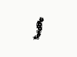 CC(C)(C)OC(=O)N1CC[C@H](C(=O)O[C@H]2CC[C@@]3(C)C(=CC[C@@H]4C3CC[C@]3(C)C(c5cccnc5)=CCC43)C2)C1